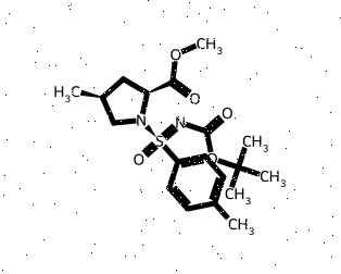 COC(=O)[C@@H]1C[C@H](C)CN1[S@@](=O)(=NC(=O)OC(C)(C)C)c1ccc(C)cc1